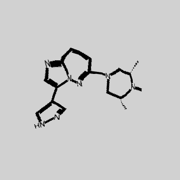 C[C@@H]1CN(c2ccc3ncc(-c4cn[nH]c4)n3n2)C[C@H](C)N1C